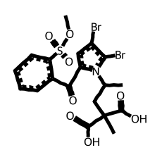 COS(=O)(=O)c1ccccc1C(=O)c1cc(Br)c(Br)n1C(C)CC(C)(C(=O)O)C(=O)O